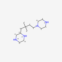 CC(C)(CCN1CCNCC1)CC1CNCCN1